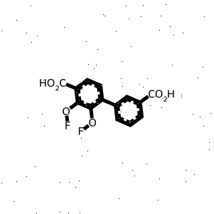 O=C(O)c1cccc(-c2ccc(C(=O)O)c(OF)c2OF)c1